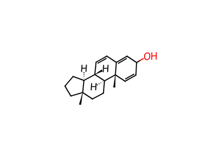 C[C@@]12CCC[C@H]1[C@@H]1C=CC3=CC(O)C=C[C@]3(C)[C@H]1CC2